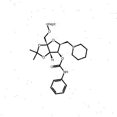 CCCCCCCOC[C@@]12O[C@@H](CN3CCCCC3)[C@@H](OC(=O)Nc3ccccc3)[C@@H]1OC(C)(C)O2